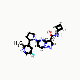 Cc1ncc(F)cc1C1CCCN1c1ccn2ncc(C(=O)NC3=CC=C3)c2n1